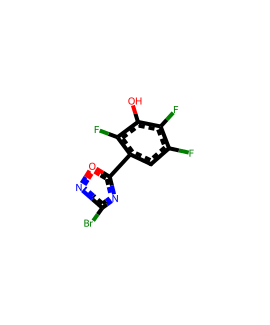 Oc1c(F)c(F)cc(-c2nc(Br)no2)c1F